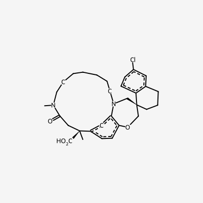 CN1CCCCCCCN2C[C@@]3(CCCc4cc(Cl)ccc43)COc3ccc(cc32)[C@@](C)(C(=O)O)CC1=O